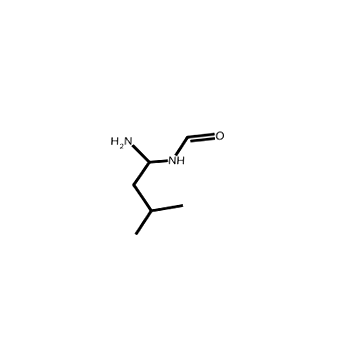 CC(C)CC(N)NC=O